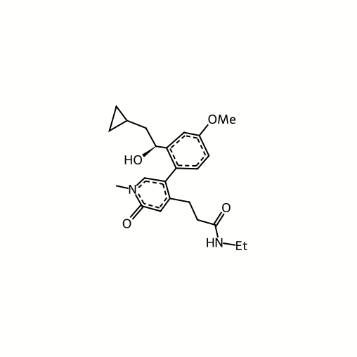 CCNC(=O)CCc1cc(=O)n(C)cc1-c1ccc(OC)cc1[C@@H](O)CC1CC1